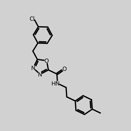 Cc1ccc(CCNC(=O)c2nnc(Cc3cccc(Cl)c3)o2)cc1